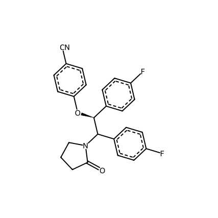 N#Cc1ccc(O[C@@H](c2ccc(F)cc2)C(c2ccc(F)cc2)N2CCCC2=O)cc1